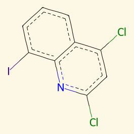 Clc1cc(Cl)c2cccc(I)c2n1